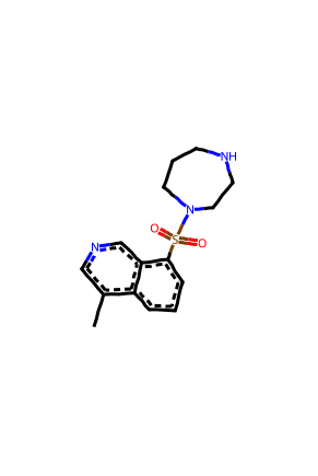 Cc1cncc2c(S(=O)(=O)N3CCCNCC3)cccc12